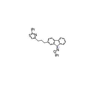 CC(C)O/N=C1/c2ccccc2-c2ccc(CCCc3csc(C(C)C)n3)cc21